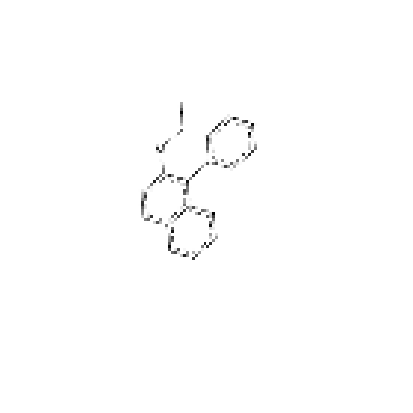 CCOc1ccc2ccccc2c1-c1cc[c]cc1